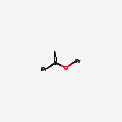 CC(C)O[SiH](C)C(C)C